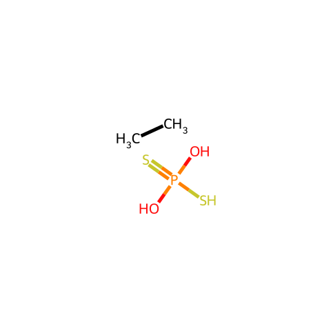 CC.OP(O)(=S)S